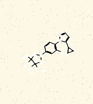 Cc1cc(B2OC(C)(C)C(C)(C)O2)ccc1-n1nccc1C1CC1